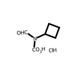 Cl.O=CN(C(=O)O)C1CCC1